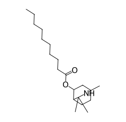 CCCCCCCCCC(=O)OC1CC2(C)CCC1C(C)(C)N2